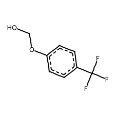 OCOc1ccc(C(F)(F)F)cc1